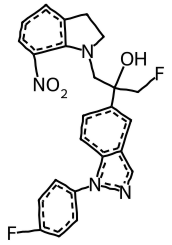 O=[N+]([O-])c1cccc2c1N(CC(O)(CF)c1ccc3c(cnn3-c3ccc(F)cc3)c1)CC2